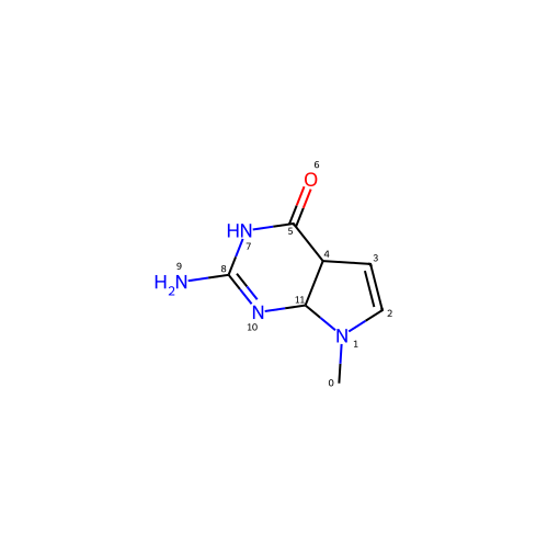 CN1C=CC2C(=O)NC(N)=NC21